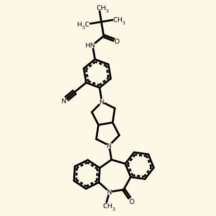 CN1C(=O)c2ccccc2C(N2CC3CN(c4ccc(NC(=O)C(C)(C)C)cc4C#N)CC3C2)c2ccccc21